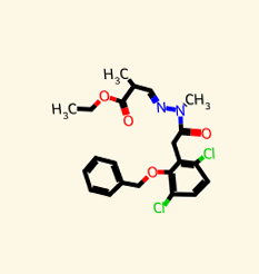 CCOC(=O)C(C)C=NN(C)C(=O)Cc1c(Cl)ccc(Cl)c1OCc1ccccc1